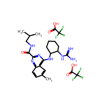 Cc1ccc2nc(C(=O)NCC(C)C)nc(NC3CCCCC3NC(=N)N)c2c1.O=C(O)C(F)(F)F.O=C(O)C(F)(F)F